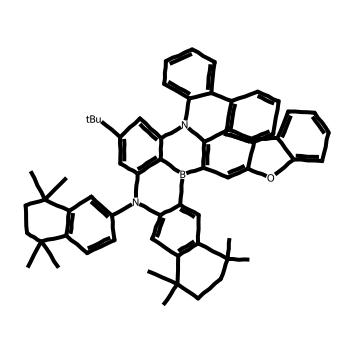 CC(C)(C)c1cc2c3c(c1)N(c1ccccc1-c1ccccc1)c1cc4c(cc1B3c1cc3c(cc1N2c1ccc2c(c1)C(C)(C)CCC2(C)C)C(C)(C)CCC3(C)C)oc1ccccc14